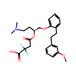 COc1cccc(CCc2ccccc2OC[C@H](CCN(C)C)OC(=O)CC(F)(F)C(=O)O)c1